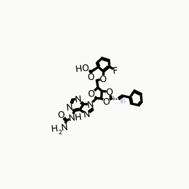 NC(=O)Nc1ncnc2c1ncn2C1OC(COc2c(F)cccc2C(=O)O)C2O[C@H](/C=C/c3ccccc3)OC21